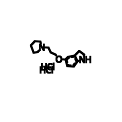 Cl.Cl.c1cc2c(cc1OCCCN1CCCCC1)CCN2